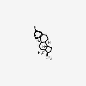 C=C1CC[C@H]2[C@@H]3CCc4cc(F)ccc4[C@H]3CC[C@]12C